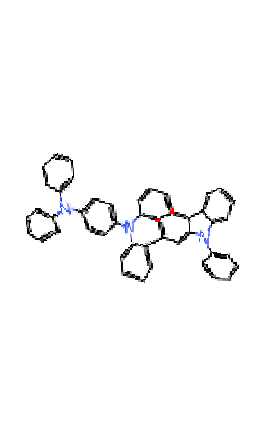 c1ccc(N(c2ccccc2)c2ccc(N(c3ccccc3)c3ccccc3-c3ccc4c5ccccc5n(-c5ccccc5)c4c3)cc2)cc1